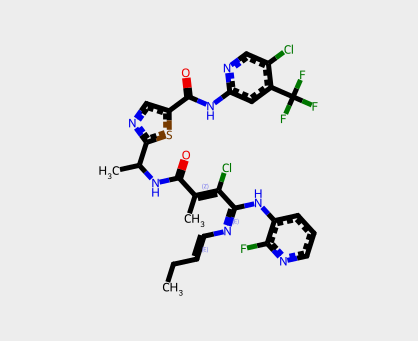 CC/C=C/N=C(Nc1cccnc1F)\C(Cl)=C(/C)C(=O)NC(C)c1ncc(C(=O)Nc2cc(C(F)(F)F)c(Cl)cn2)s1